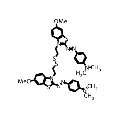 COc1ccc2c(c1)sc(/N=N/c1ccc(N(C)C)cc1)[n+]2CCSSCC[n+]1c(/N=N/c2ccc(N(C)C)cc2)sc2cc(OC)ccc21